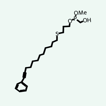 COP(CO)OCCCSCCCCCCCCCCC#Cc1ccccc1